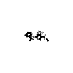 CCOC(=O)c1cnc(N/N=C(/C)c2ccccc2)c2nn[nH]c12